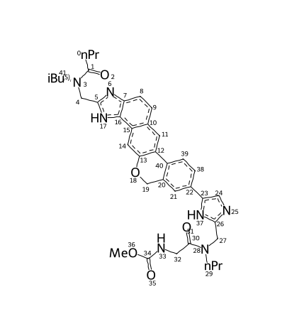 CCCC(=O)N(Cc1nc2ccc3cc4c(cc3c2[nH]1)OCc1cc(-c2cnc(CN(CCC)C(=O)CNC(=O)OC)[nH]2)ccc1-4)[C@@H](C)CC